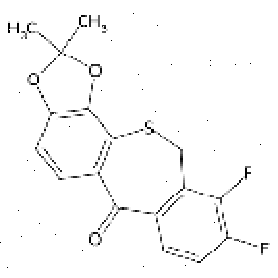 CC1(C)Oc2ccc3c(c2O1)SCc1c(ccc(F)c1F)C3=O